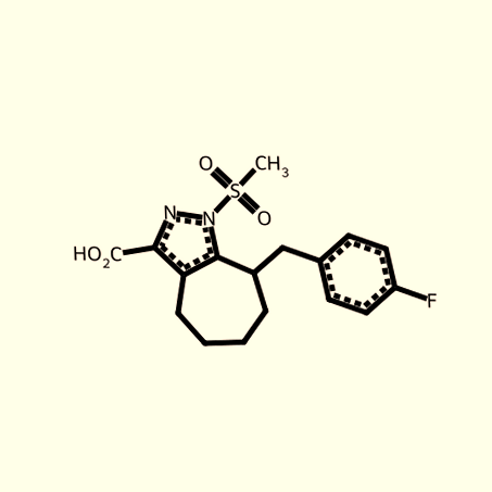 CS(=O)(=O)n1nc(C(=O)O)c2c1C(Cc1ccc(F)cc1)CCCC2